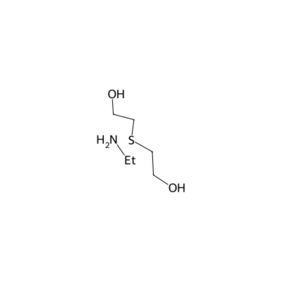 CCN.OCCSCCO